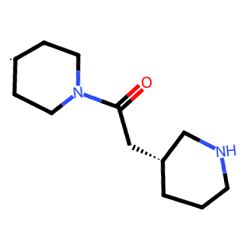 O=C(C[C@H]1CCCNC1)N1CC[CH]CC1